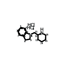 Cl.Cl.c1ccc2c(c1)CCN2CC1CCCCN1